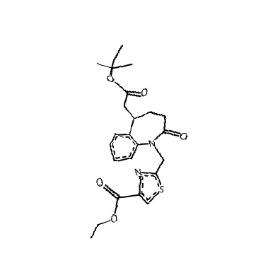 CCOC(=O)c1csc(CN2C(=O)CCC(CC(=O)OC(C)(C)C)c3ccccc32)n1